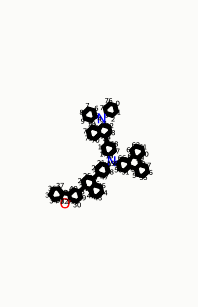 c1ccc(N(c2ccccc2)c2ccc(-c3ccc(N(c4ccc(-c5ccc(-c6ccc7oc8ccccc8c7c6)c6ccccc56)cc4)c4ccc5c6ccccc6c6ccccc6c5c4)cc3)c3ccccc23)cc1